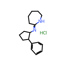 Cl.c1ccc(C2CCCC2N=C2CCCCCN2)cc1